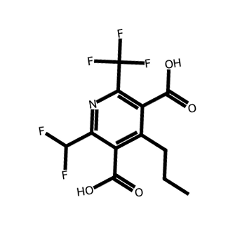 CCCc1c(C(=O)O)c(C(F)F)nc(C(F)(F)F)c1C(=O)O